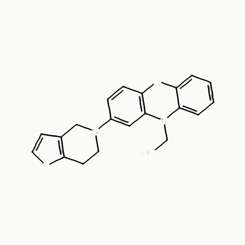 O=CCN1c2ccccc2Oc2ccc(N3CCc4sccc4C3)cc21